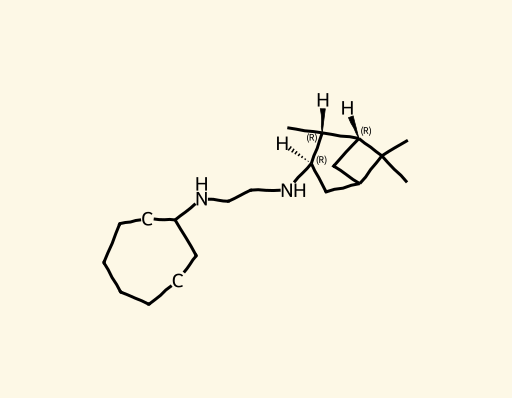 C[C@@H]1[C@H]2CC(C[C@H]1NCCNC1CCCCCCC1)C2(C)C